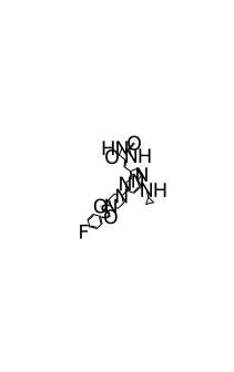 O=C1NC(=O)/C(=C/c2cnn3c(NC4CC4)cc(N4CCN(S(=O)(=O)c5ccc(F)cc5)CC4)nc23)N1